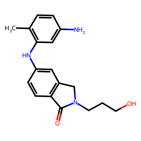 Cc1ccc(N)cc1Nc1ccc2c(c1)CN(CCCO)C2=O